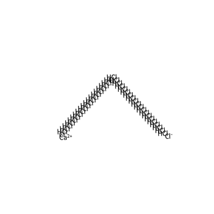 Cl.Cl.Cl.Cl.Cl.Cl.Cl.Cl.Cl.Cl.Cl.Cl.Cl.Cl.Cl.Cl.Cl.Cl.Cl.Cl.Cl.Cl.Cl.Cl.Cl.Cl.Cl.Cl.Cl.Cl.Cl.Cl.Cl.Cl.Cl.Cl.Cl.Cl.Cl.[Ca+2].[Cl-].[Cl-]